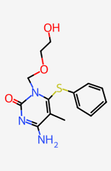 Cc1c(N)nc(=O)n(COCCO)c1Sc1ccccc1